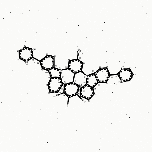 Fc1c(F)c(F)c(-c2c(-n3c4ccccc4c4cc(-c5ncccn5)ccc43)cc(C(F)(F)F)cc2-n2c3ccccc3c3cc(-c4ncccn4)ccc32)c(F)c1F